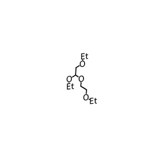 [CH2]COCC(OCC)OCCOCC